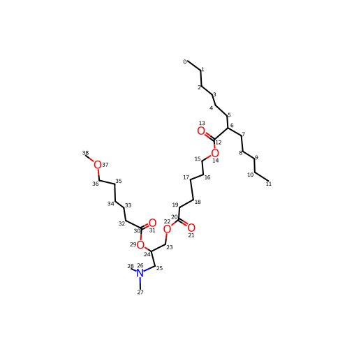 CCCCCCC(CCCCC)C(=O)OCCCCCC(=O)OCC(CN(C)C)OC(=O)CCCCCOC